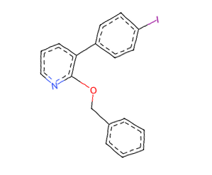 Ic1ccc(-c2cccnc2OCc2ccccc2)cc1